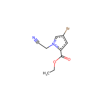 CCOC(=O)c1cc(Br)cn1CC#N